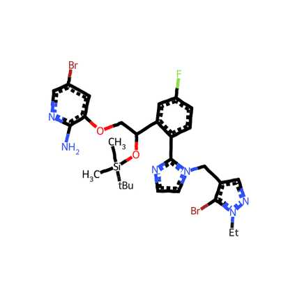 CCn1ncc(Cn2ccnc2-c2ccc(F)cc2C(COc2cc(Br)cnc2N)O[Si](C)(C)C(C)(C)C)c1Br